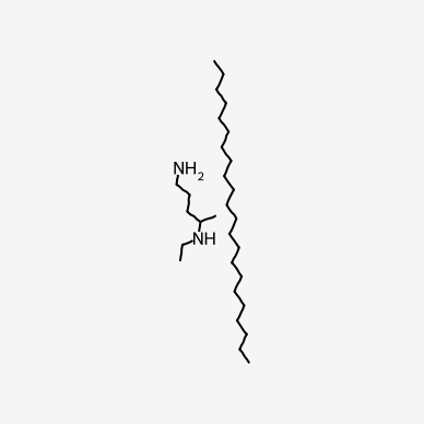 CCCCCCCCCCCCCCCCCCCCCC.CCNC(C)CCCN